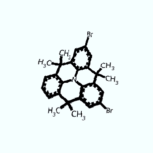 CC1(C)c2cccc3c2N2c4c1cc(Br)cc4C(C)(C)c1cc(Br)cc(c12)C3(C)C